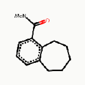 CNC(=O)c1cccc2c1CCCCC2